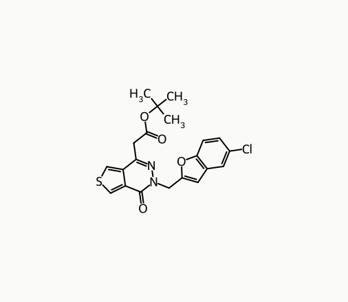 CC(C)(C)OC(=O)Cc1nn(Cc2cc3cc(Cl)ccc3o2)c(=O)c2cscc12